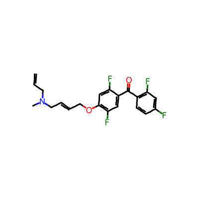 C=CCN(C)CC=CCOc1cc(F)c(C(=O)c2ccc(F)cc2F)cc1F